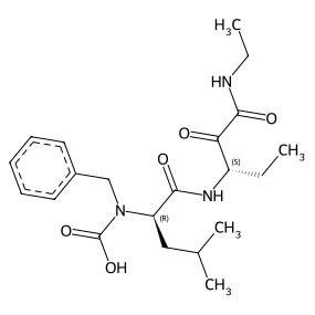 CCNC(=O)C(=O)[C@H](CC)NC(=O)[C@@H](CC(C)C)N(Cc1ccccc1)C(=O)O